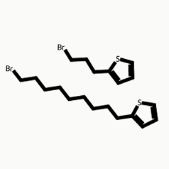 BrCCCCCCCCCc1cccs1.BrCCCc1cccs1